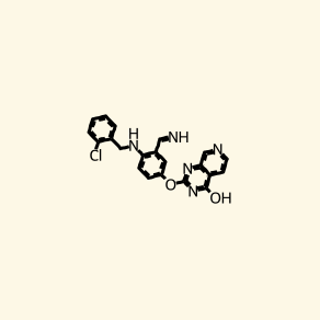 N=Cc1cc(Oc2nc(O)c3ccncc3n2)ccc1NCc1ccccc1Cl